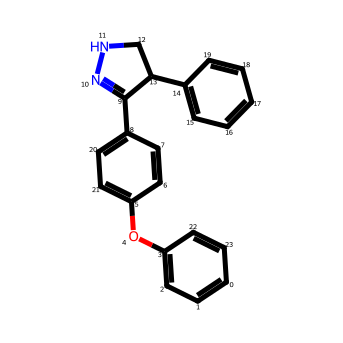 c1ccc(Oc2ccc(C3=NNCC3c3ccccc3)cc2)cc1